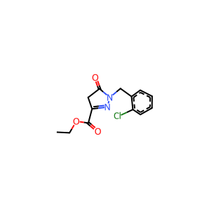 CCOC(=O)C1=NN(Cc2ccccc2Cl)C(=O)C1